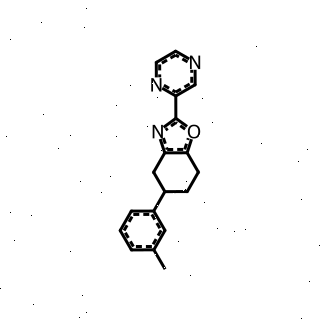 Cc1cccc(C2CCc3oc(-c4cnccn4)nc3C2)c1